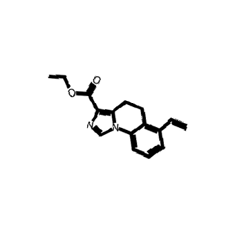 C=Cc1cccc2c1CCc1c(C(=O)OCC)ncn1-2